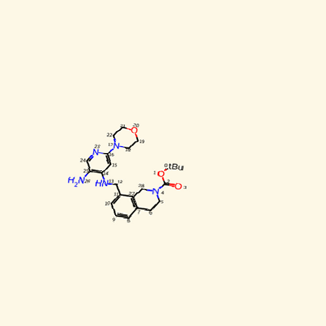 CC(C)(C)OC(=O)N1CCc2cccc(CNc3cc(N4CCOCC4)ncc3N)c2C1